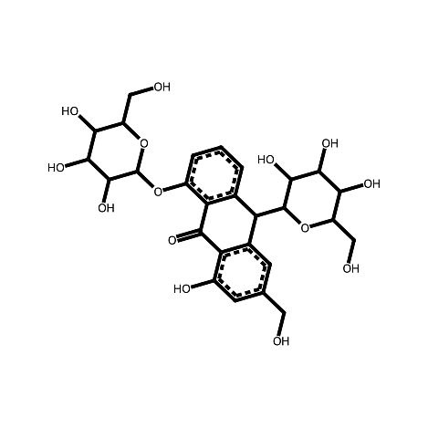 O=C1c2c(O)cc(CO)cc2C(C2OC(CO)C(O)C(O)C2O)c2cccc(OC3OC(CO)C(O)C(O)C3O)c21